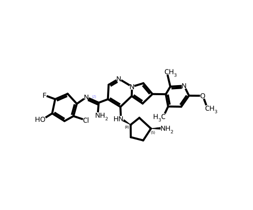 COc1cc(C)c(-c2cc3c(N[C@@H]4CC[C@H](N)C4)c(/C(N)=N/c4cc(F)c(O)cc4Cl)cnn3c2)c(C)n1